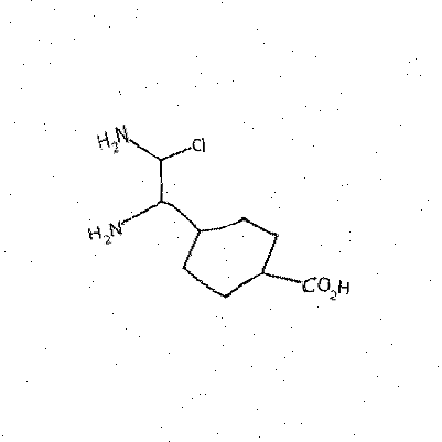 NC(Cl)C(N)C1CCC(C(=O)O)CC1